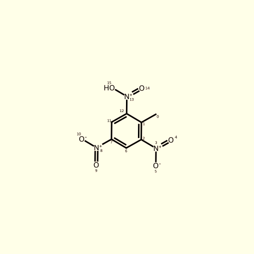 Cc1c([N+](=O)[O-])cc([N+](=O)[O-])cc1[N+](=O)O